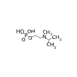 CC(C)N(C)CCOP(=O)(O)O